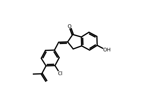 C=C(C)c1ccc(/C=C2\Cc3cc(O)ccc3C2=O)cc1Cl